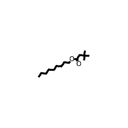 CCCCCCCCCOC(=O)CC(C)(C)C